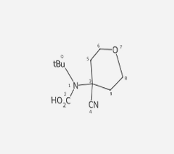 CC(C)(C)N(C(=O)O)C1(C#N)CCOCC1